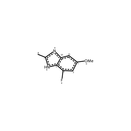 COc1cc(F)c2[nH]c(C)nc2c1